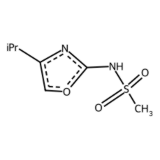 CC(C)c1coc(NS(C)(=O)=O)n1